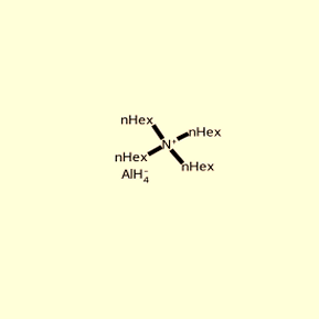 CCCCCC[N+](CCCCCC)(CCCCCC)CCCCCC.[AlH4-]